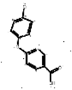 O=C(O)c1ccc(Oc2ccc(Cl)cc2)nc1